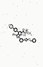 CC(C)c1nn(-c2cccc(N3CC(OCc4ccccc4)C3)c2)c2nc(C(=O)N[S+](C)[O-])cc(-c3ccc(N4CCOCC4)cc3)c12